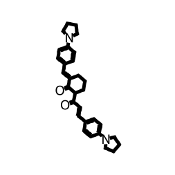 O=C(C=Cc1ccc(N2CCCC2)cc1)C1CCCC(=Cc2ccc(N3CCCC3)cc2)C1=O